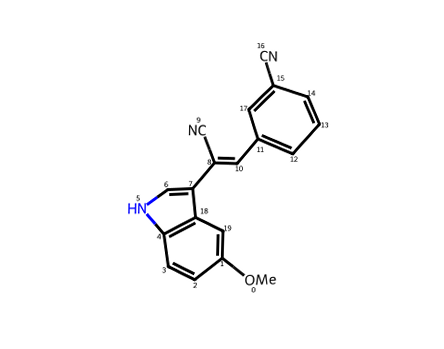 COc1ccc2[nH]cc(C(C#N)=Cc3cccc(C#N)c3)c2c1